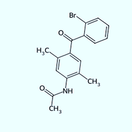 CC(=O)Nc1cc(C)c(C(=O)c2ccccc2Br)cc1C